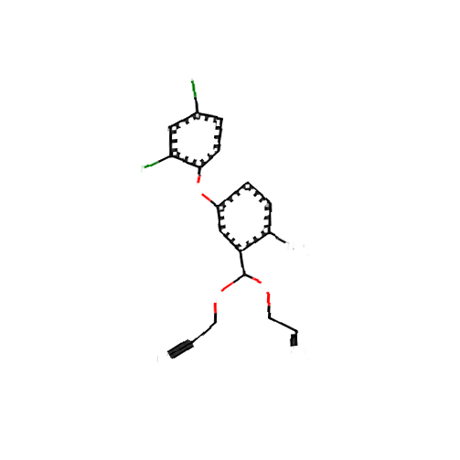 C#CCOC(OCC=C)c1cc(Oc2ccc(Cl)cc2Cl)ccc1[N+](=O)[O-]